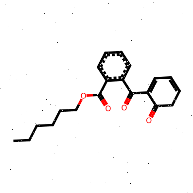 CCCCCCOC(=O)c1ccccc1C(=O)C1=CC=CCC1=O